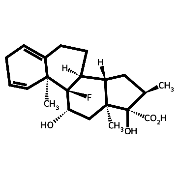 C[C@@H]1C[C@H]2[C@@H]3CCC4=CCC=C[C@]4(C)[C@@]3(F)[C@@H](O)C[C@]2(C)[C@@]1(O)C(=O)O